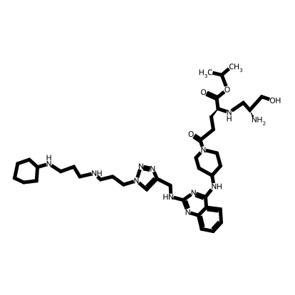 CC(C)OC(=O)[C@H](CCC(=O)N1CCC(Nc2nc(NCc3cn(CCCNCCCNC4CCCCC4)nn3)nc3ccccc23)CC1)NC[C@@H](N)CO